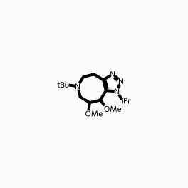 COC1CN(C(C)(C)C)CCc2nnn(C(C)C)c2C1OC